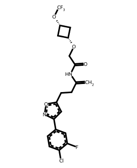 C=C(CCc1cc(-c2ccc(Cl)c(F)c2)no1)NC(=O)CO[C@H]1C[C@@H](OC(F)(F)F)C1